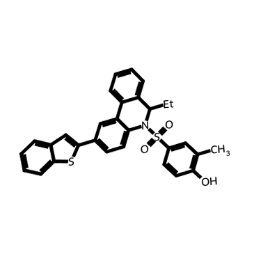 CCC1c2ccccc2-c2cc(-c3cc4ccccc4s3)ccc2N1S(=O)(=O)c1ccc(O)c(C)c1